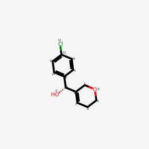 O[C@@H](C1=CCCOC1)c1ccc(Cl)cc1